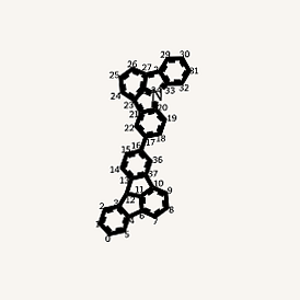 c1ccc2c(c1)-c1cccc3c1C2c1ccc(-c2ccc4c(c2)c2cccc5c6ccccc6n4c52)cc1-3